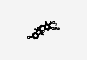 COc1cc2c(c(C)c1[N+](=O)[O-])C=CC1(O2)N(C)c2ccc(Cl)cc2C1(C)C